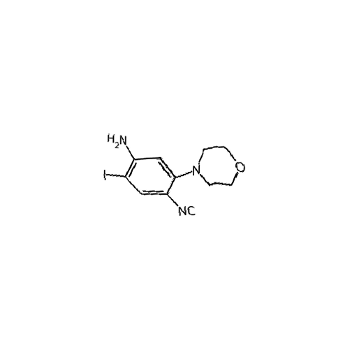 [C-]#[N+]c1cc(I)c(N)cc1N1CCOCC1